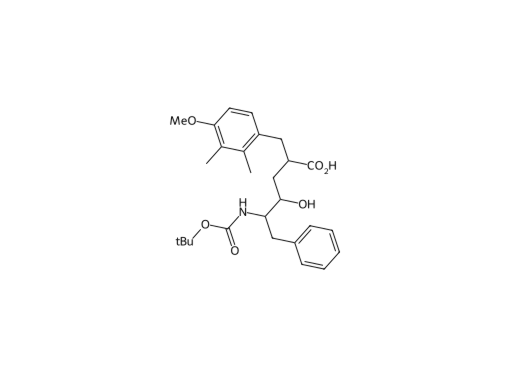 COc1ccc(CC(CC(O)C(Cc2ccccc2)NC(=O)OC(C)(C)C)C(=O)O)c(C)c1C